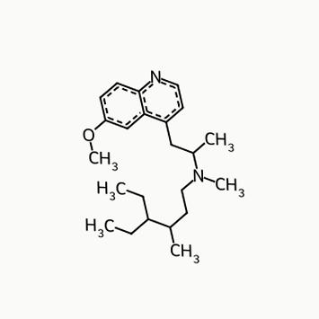 CCC(CC)C(C)CCN(C)C(C)Cc1ccnc2ccc(OC)cc12